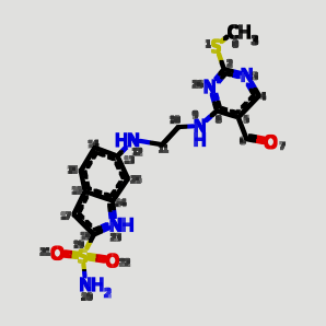 CSc1ncc(C=O)c(NCCNc2ccc3cc(S(N)(=O)=O)[nH]c3c2)n1